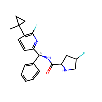 CC1(c2ccc([C@@H](NC(=O)C3CC(F)CN3)c3ccccc3)nc2F)CC1